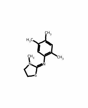 Cc1cc(C)c(N=C2SCCN2C)cc1C